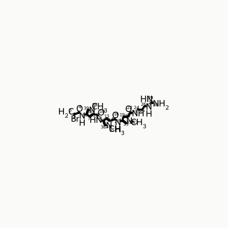 C=C(Br)C(=O)Nc1cc(C(=O)Nc2cc(C(=O)Nc3cc(C(=O)NCCCNC(=N)N)n(C)c3)n(C)c2)n(C)c1